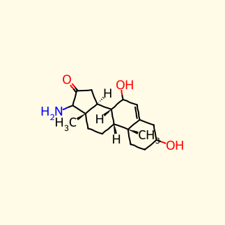 C[C@]12CCC(O)CC1=CC(O)[C@@H]1[C@H]2CC[C@]2(C)C(N)C(=O)C[C@@H]12